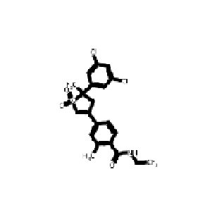 Cc1cc(C2=CS(=O)(=O)C(c3cc(Cl)cc(Cl)c3)(C(F)(F)F)C2)ccc1C(=O)NCC(F)(F)F